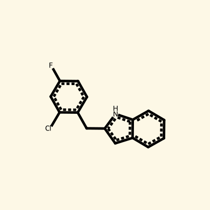 Fc1ccc(Cc2cc3ccccc3[nH]2)c(Cl)c1